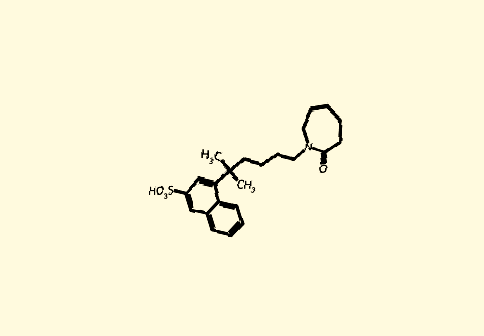 CC(C)(CCCCN1CCCCCC1=O)c1cc(S(=O)(=O)O)cc2ccccc12